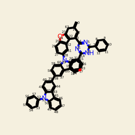 C=C1C=C(C2=NC(c3ccccc3)NC(c3ccccc3)=N2)c2c(oc3ccc(-n4c5ccccc5c5cc(-c6ccc7c(c6)c6ccccc6n7-c6ccccc6)ccc54)cc23)C1